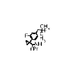 CCCC(=N)C1(c2ccc(CC(C)(C)F)cc2F)CC1